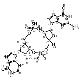 Nc1nc2c(ncn2[C@@H]2O[C@@H]3COP(=O)(S)O[C@H]4[C@H](F)[C@H](n5cnc6c(=O)[nH]cnc65)O[C@@H]4COP(=O)(S)O[C@@H]2C3)c(=O)[nH]1